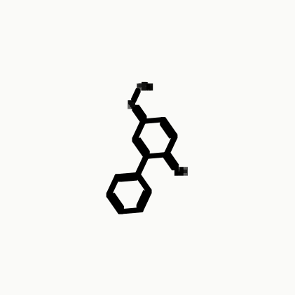 CCCCN=C1C=CC(=N)C(c2ccccc2)=C1